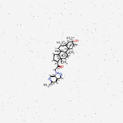 COC[C@]12CC[C@@](C)(O)C[C@]1(C)CC[C@@H]1[C@]2(C)CC[C@]2(C)[C@@H](C(=O)Cn3ncc4cc(C)ncc43)CC[C@@]12C